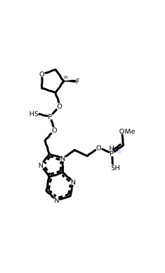 CO/C=[PH](/S)OCCn1c(COP(S)OC2COC[C@H]2F)nc2cncnc21